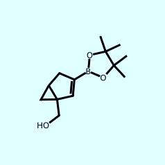 CC1(C)OB(C2=CC3(CO)CC3C2)OC1(C)C